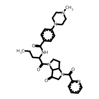 CCCC(NC(=O)c1ccc(N2CCN(C)CC2)cc1)C(=O)N1CCC2C1C(=O)CN2C(=O)c1ccccn1